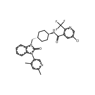 Cc1cc(C)c(-n2c(=O)n(C[C@H]3CC[C@H](NC(=O)c4cc(Cl)cnc4C(F)(F)F)CC3)c3ccccc32)cn1